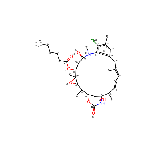 C/C1=C\C=C\C(C)C2(O)CC(OC(=O)N2)C(C)C2OC2(C)C(OC(=O)CCCCC(=O)O)CC(=O)N(C)c2cc(cc(C)c2Cl)C1